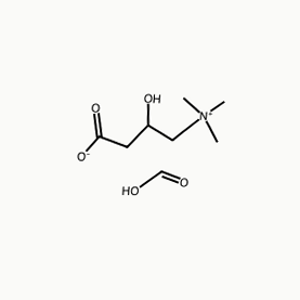 C[N+](C)(C)CC(O)CC(=O)[O-].O=CO